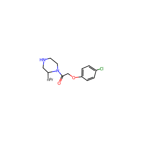 CCCC1CNCCN1C(=O)COc1ccc(Cl)cc1